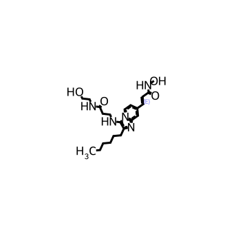 CCCCCCc1nc2cc(/C=C/C(=O)NO)ccn2c1NCCC(=O)NCCO